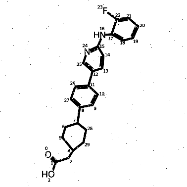 O=C(O)CC1CCC(c2ccc(-c3ccc(Nc4ccccc4F)nc3)cc2)CC1